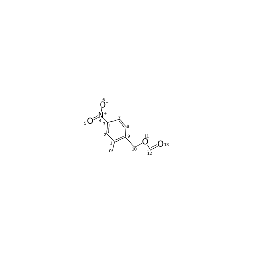 Cc1cc([N+](=O)[O-])ccc1CO[C]=O